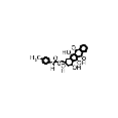 Cc1ccc(NC(=O)OCC2(O)Cc3c(O)c4c(c(O)c3[C@@H](O)C2)C(=O)c2ccccc2C4=O)cc1